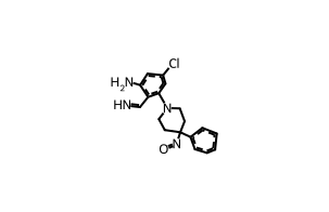 N=Cc1c(N)cc(Cl)cc1N1CCC(N=O)(c2ccccc2)CC1